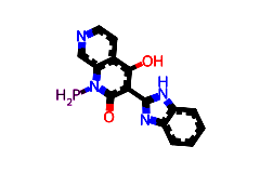 O=c1c(-c2nc3ccccc3[nH]2)c(O)c2ccncc2n1P